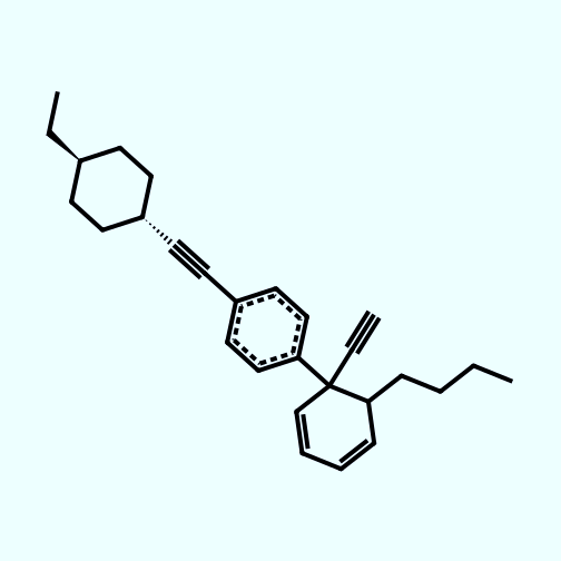 C#CC1(c2ccc(C#C[C@H]3CC[C@H](CC)CC3)cc2)C=CC=CC1CCCC